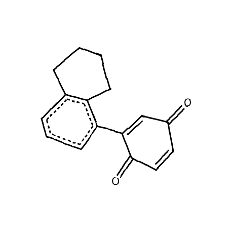 O=C1C=CC(=O)C(c2cccc3c2CCCC3)=C1